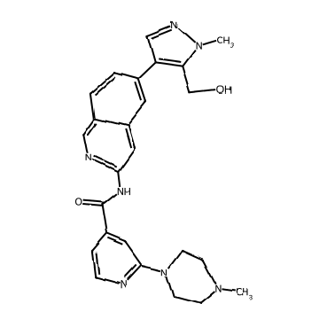 CN1CCN(c2cc(C(=O)Nc3cc4cc(-c5cnn(C)c5CO)ccc4cn3)ccn2)CC1